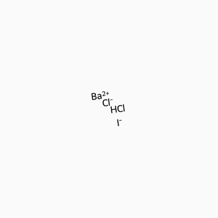 Cl.[Ba+2].[Cl-].[I-]